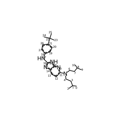 CC(C)CCN(CCC(C)C)c1ccc2nc(Nc3ccc(C(C)(C)C)cc3)[nH]c2n1